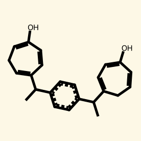 CC(C1=CCC=C(O)C=C1)c1ccc(C(C)C2=CC=C(O)C=CC2)cc1